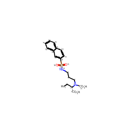 CC(C)C[C@@H](C(=O)O)N(CCCNS(=O)(=O)c1ccc2ccccc2c1)C(=O)O